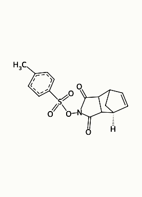 Cc1ccc(S(=O)(=O)ON2C(=O)C3C4C=C[C@H](C4)C3C2=O)cc1